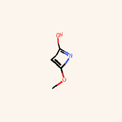 COC1=CC(O)=N1